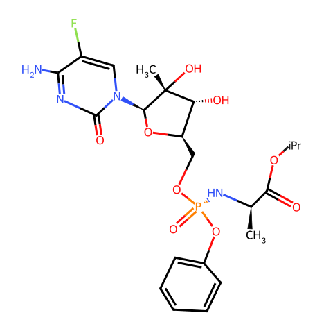 CC(C)OC(=O)[C@@H](C)N[P@](=O)(OC[C@H]1O[C@@H](n2cc(F)c(N)nc2=O)[C@](C)(O)[C@@H]1O)Oc1ccccc1